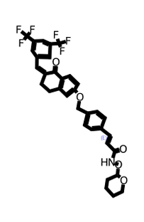 O=C(/C=C/c1ccc(COc2ccc3c(c2)CCC(=Cc2cc(C(F)(F)F)cc(C(F)(F)F)c2)C3=O)cc1)NOC1CCCCO1